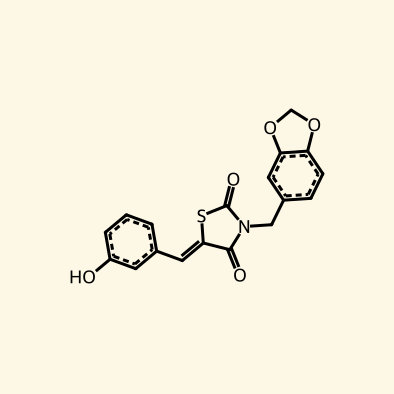 O=C1SC(=Cc2cccc(O)c2)C(=O)N1Cc1ccc2c(c1)OCO2